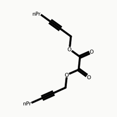 CCCC#CCOC(=O)C(=O)OCC#CCCC